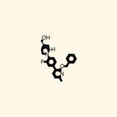 Cc1ccc(-c2ccc(N3CC4C[C@H]3C[C@@H]4CO)c(F)c2)c(OCc2ccccc2)n1